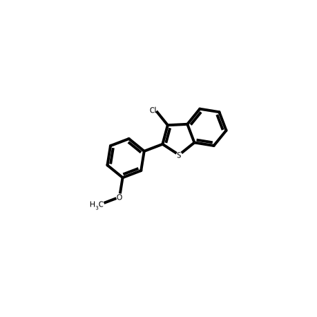 COc1cccc(-c2sc3ccccc3c2Cl)c1